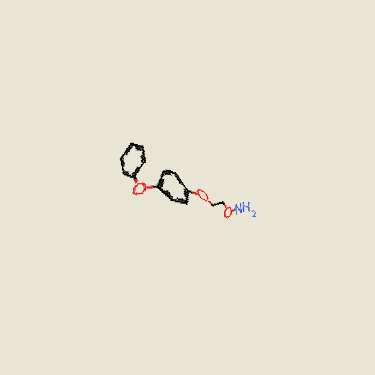 NOCCOc1ccc(Oc2ccccc2)cc1